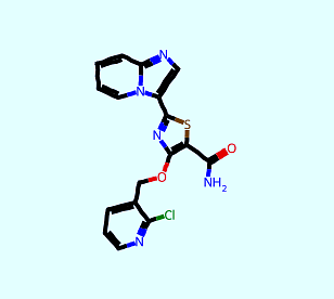 NC(=O)c1sc(-c2cnc3ccccn23)nc1OCc1cccnc1Cl